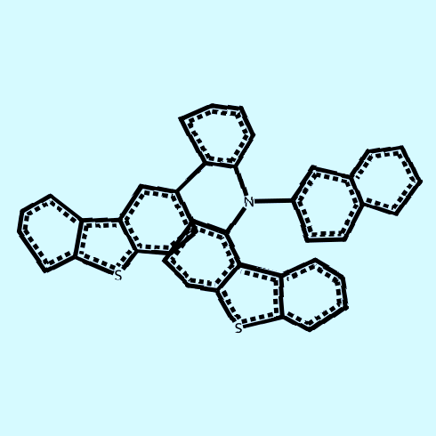 c1ccc(N(c2ccc3ccccc3c2)c2cccc3sc4ccccc4c23)c(-c2ccc3sc4ccccc4c3c2)c1